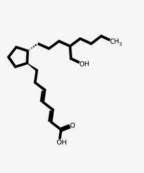 CCCCC(CO)CCC[C@H]1CCC[C@@H]1CCC=CC=CC(=O)O